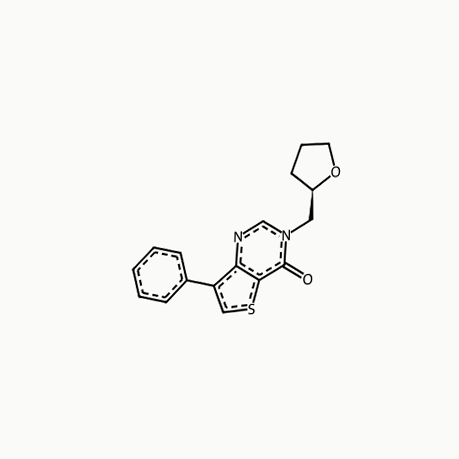 O=c1c2scc(-c3ccccc3)c2ncn1C[C@H]1CCCO1